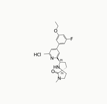 CCOc1cc(F)cc(-c2cc(C)nc([C@H]3CC[C@@]4(CCN(C)C4=O)N3)c2)c1.Cl